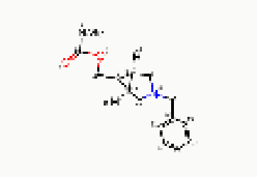 CNC(=O)OCC1[C@H]2CN(Cc3ccccc3)C[C@@H]12